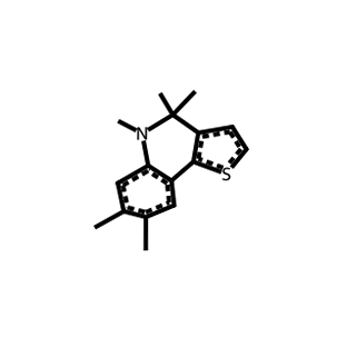 Cc1cc2c(cc1C)N(C)C(C)(C)c1ccsc1-2